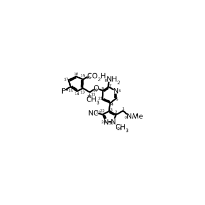 CNCc1c(-c2cnc(N)c(O[C@H](C)c3cc(F)ccc3C(=O)O)c2)c(C#N)nn1C